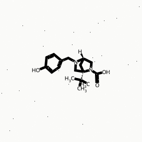 CC(C)(C)[C@]12C[C@@H](CN1C(=O)O)N(Cc1ccc(O)cc1)C2